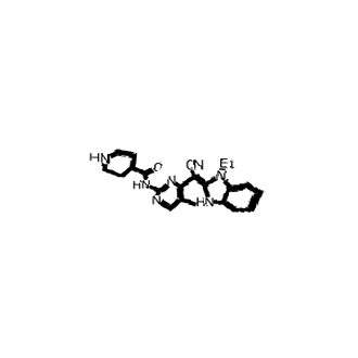 CCN1/C(=C(\C#N)c2nc(NC(=O)C3CCNCC3)ncc2C)Nc2ccccc21